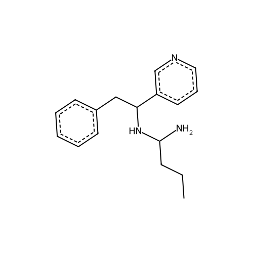 CCCC(N)NC(Cc1ccccc1)c1cccnc1